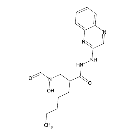 CCCCCC(CN(O)C=O)C(=O)NNc1cnc2ccccc2n1